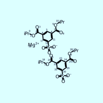 CC(C)OC(=O)c1cc(C(=O)OC(C)C)cc(S(=O)(=O)[O-])c1.CC(C)OC(=O)c1cc(C(=O)OC(C)C)cc(S(=O)(=O)[O-])c1.[Mg+2]